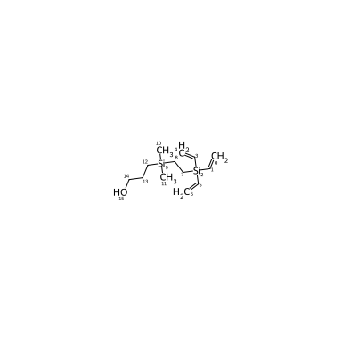 C=C[Si](C=C)(C=C)CC[Si](C)(C)CCCO